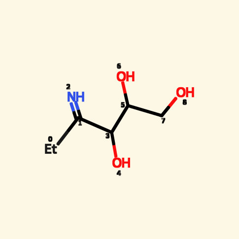 CCC(=N)C(O)C(O)CO